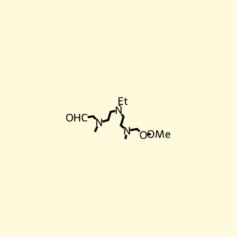 CCN(CCN(C)CC=O)CCN(C)COOC